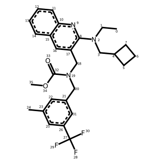 CCN(CC1CCC1)c1nc2ccccc2cc1CN(Cc1cc(C)cc(C(F)(F)F)c1)C(=O)OC